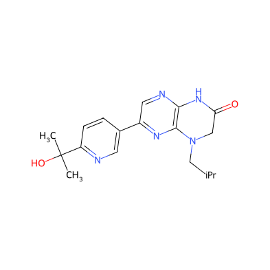 CC(C)CN1CC(=O)Nc2ncc(-c3ccc(C(C)(C)O)nc3)nc21